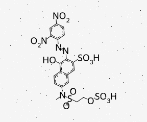 CN(c1ccc2c(O)c(/N=N/c3ccc([N+](=O)[O-])cc3[N+](=O)[O-])c(S(=O)(=O)O)cc2c1)S(=O)(=O)CCOS(=O)(=O)O